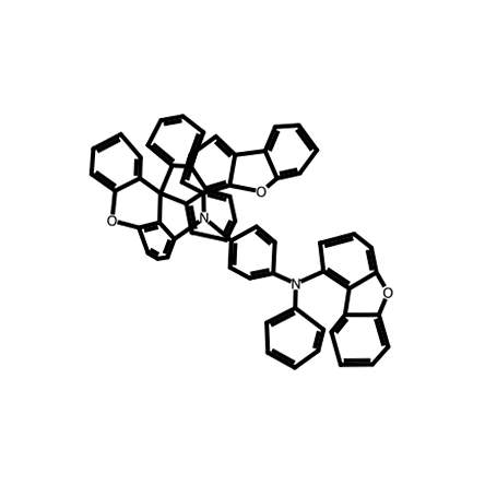 c1ccc(N(c2ccc(N(c3cccc4c3C3(c5ccccc5O4)c4ccccc4-c4ccccc43)c3cccc4c3oc3ccccc34)cc2)c2cccc3oc4ccccc4c23)cc1